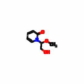 COC(CO)n1ccccc1=O